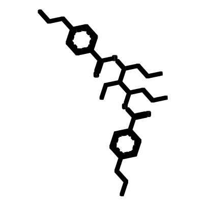 CCCc1ccc(C(=O)OC(CCC)C(CC)C(CCC)OC(=O)c2ccc(CCC)cc2)cc1